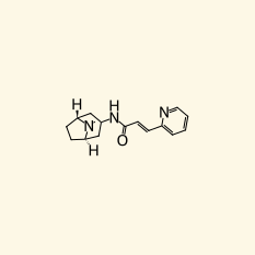 CN1[C@@H]2CC[C@@H]1CC(NC(=O)C=Cc1ccccn1)C2